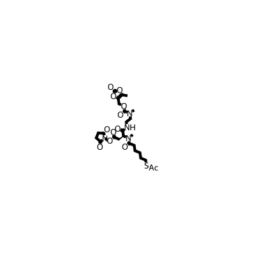 CC(=O)SCCCCCC(=O)N(C)[C@@H](CC(=O)ON1C(=O)CCC1=O)C(=O)NCCN(C)C(=O)OCc1oc(=O)oc1C